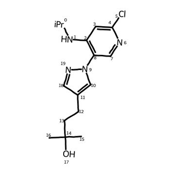 CC(C)Nc1cc(Cl)ncc1-n1cc(CCC(C)(C)O)cn1